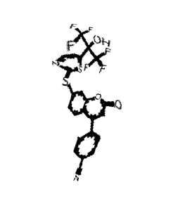 N#Cc1ccc(-c2cc(=O)oc3cc(Sc4ncc(C(O)(C(F)(F)F)C(F)(F)F)s4)ccc23)cc1